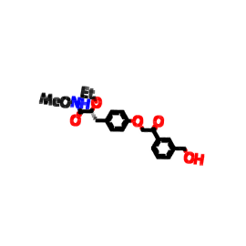 CCO[C@H](Cc1ccc(OCC(=O)c2cccc(CO)c2)cc1)C(=O)NOC